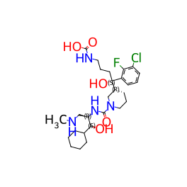 CNC[C@@H](NC(=O)N1CCC[C@@H]([C@@](O)(CCCNC(=O)O)c2cccc(Cl)c2F)C1)[C@@H](O)C1CCCCC1